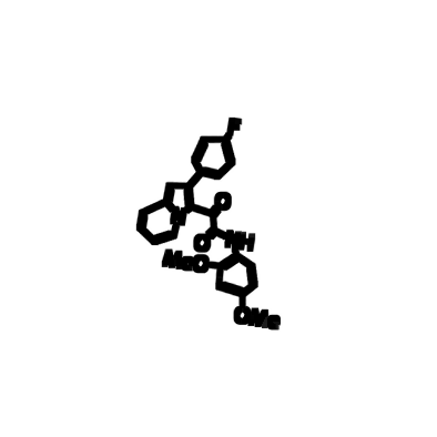 COc1ccc(NC(=O)C(=O)c2c(-c3ccc(F)cc3)cc3ccccn23)c(OC)c1